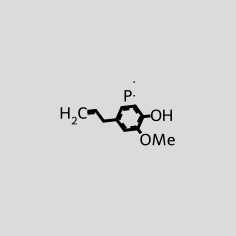 C=CCc1ccc(O)c(OC)c1.[P]